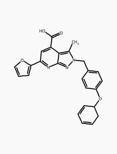 Cc1c2c(C(=O)O)cc(-c3ccco3)nc2nn1Cc1ccc(OC2C=CC=CC2)cc1